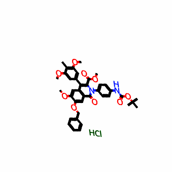 COC(=O)c1c(-c2cc(OC)c(C)c(OC)c2)c2cc(OC)c(OCc3ccccc3)cc2c(=O)n1-c1ccc(NC(=O)OC(C)(C)C)cc1.Cl